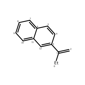 [CH2]CC(=C)c1ccc2ccccc2c1